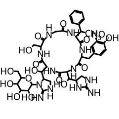 CC(c1ccccc1)C1NC(=O)CNC(=O)C(CO)NC(=O)C(C(O)C2CNC(=N)N2C2OC(CO)C(O)C(O)C2O)NC(=O)C(C(O)C2CNC(=N)N2)NC(=O)C(Cc2ccc(O)c([N+](=O)[O-])c2)NC1=O